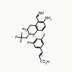 C[C@H]1Cc2c(ccc(N)c2C=N)[C@H](c2c(F)cc(/C=C/C(=O)O)cc2F)N1CC(C)(C)F